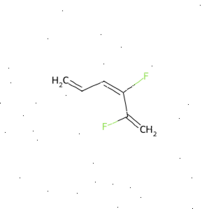 C=C/C=C(/F)C(=C)F